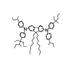 CCCCCCCCC1(CCCCCCCC)c2cc(N(c3ccc(C(C)CC)cc3)c3ccc(C(C)(CC)CCC)cc3)ccc2-c2ccc(N(c3ccc(C(C)CC)cc3)c3ccc(C(CC)(CCC)C(C)CC)cc3)cc21